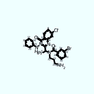 CC(C)C(c1nc2cc(Cl)ccc2c(=O)n1Nc1ccccc1)N(CCCN)C(=O)c1cccc(Br)c1